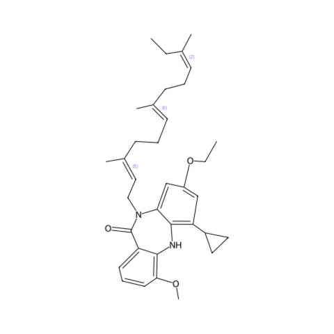 CCOc1cc(C2CC2)c2c(c1)N(C/C=C(\C)CC/C=C(\C)CC/C=C(/C)CC)C(=O)c1cccc(OC)c1N2